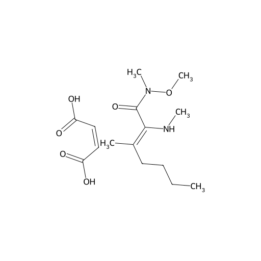 CCCCC(C)=C(NC)C(=O)N(C)OC.O=C(O)/C=C\C(=O)O